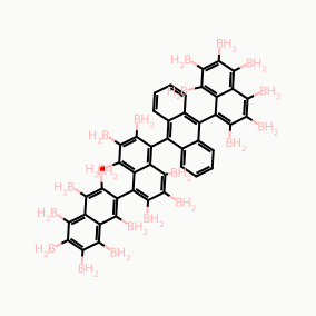 Bc1c(B)c(B)c2c(B)c(-c3c(B)c(B)c(B)c4c(-c5c6ccccc6c(-c6c(B)c(B)c(B)c7c(B)c(B)c(B)c(B)c67)c6ccccc56)c(B)c(B)c(B)c34)c(B)c(B)c2c1B